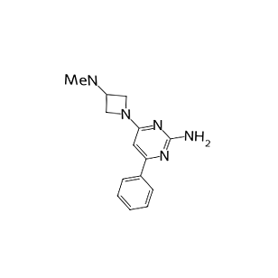 CNC1CN(c2cc(-c3ccccc3)nc(N)n2)C1